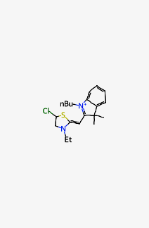 CCCC[N+]1=C(/C=C2\SC(Cl)CN2CC)C(C)(C)c2ccccc21